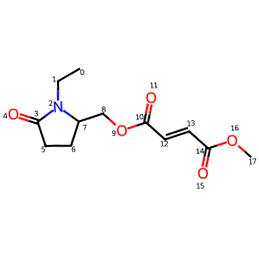 CCN1C(=O)CCC1COC(=O)/C=C/C(=O)OC